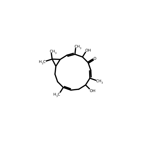 C/C1=C/CC(O)/C(C)=C\C(=O)C(O)/C(C)=C\C2C(CC1)C2(C)C